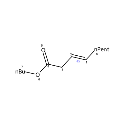 CCCCC/C=C/CC(=O)OCCCC